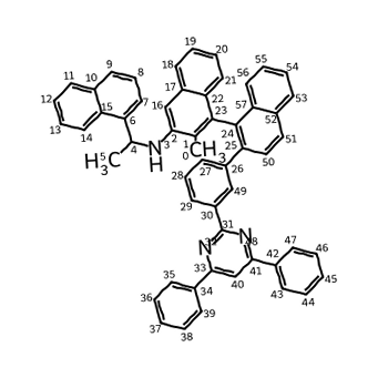 Cc1c(NC(C)c2cccc3ccccc23)cc2ccccc2c1-c1c(-c2cccc(-c3nc(-c4ccccc4)cc(-c4ccccc4)n3)c2)ccc2ccccc12